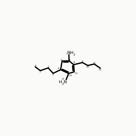 CCCCc1cc(N)c(CCCC)cc1N